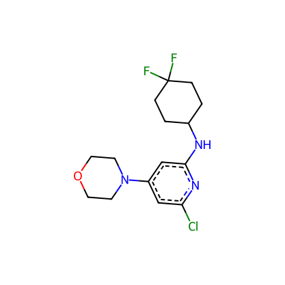 FC1(F)CCC(Nc2cc(N3CCOCC3)cc(Cl)n2)CC1